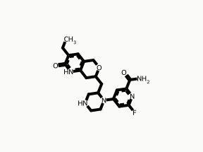 CCc1cc2c([nH]c1=O)CC(CC1CNCCN1c1cc(F)nc(C(N)=O)c1)OC2